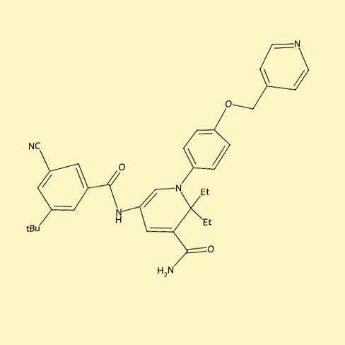 CCC1(CC)C(C(N)=O)=CC(NC(=O)c2cc(C#N)cc(C(C)(C)C)c2)=CN1c1ccc(OCc2ccncc2)cc1